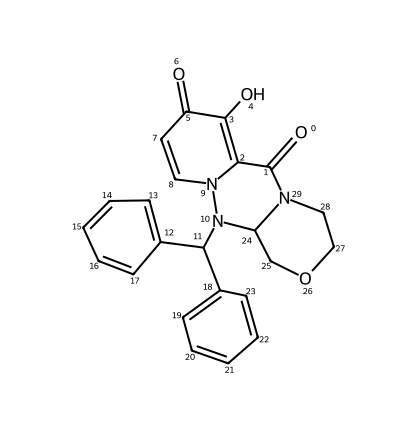 O=C1c2c(O)c(=O)ccn2N(C(c2ccccc2)c2ccccc2)C2COCCN12